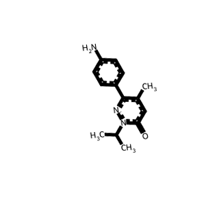 Cc1cc(=O)n(C(C)C)nc1-c1ccc(N)cc1